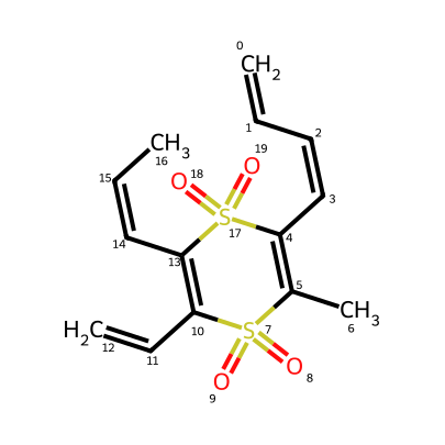 C=C/C=C\C1=C(C)S(=O)(=O)C(C=C)=C(/C=C\C)S1(=O)=O